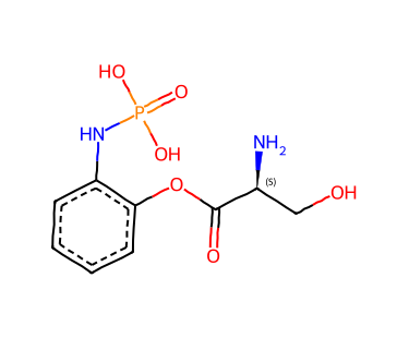 N[C@@H](CO)C(=O)Oc1ccccc1NP(=O)(O)O